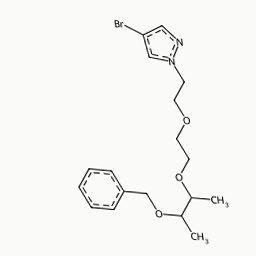 CC(OCCOCCn1cc(Br)cn1)C(C)OCc1ccccc1